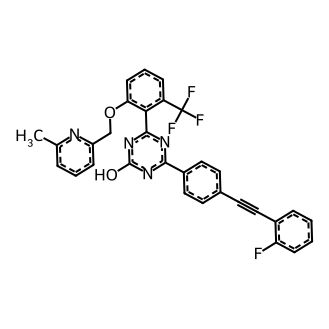 Cc1cccc(COc2cccc(C(F)(F)F)c2-c2nc(O)nc(-c3ccc(C#Cc4ccccc4F)cc3)n2)n1